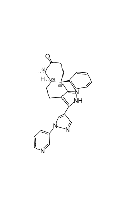 C[C@@H]1C(=O)CC[C@]2(c3ccccc3)c3n[nH]c(-c4cnn(-c5cccnc5)c4)c3CC[C@@H]12